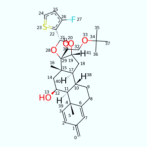 C=C1C=C[C@@]2(C)C(=C1)CC[C@@H]1[C@@H]2[C@@H](O)C[C@@]2(C)[C@H]1C[C@H]1O[C@@H](c3sccc3F)O[C@]12C(=O)COC(C)(C)C